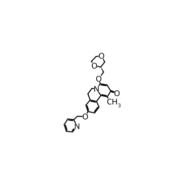 Cc1c2n(c(OC[C@@H]3COCCO3)cc1=O)CCc1cc(OCc3ccccn3)ccc1-2